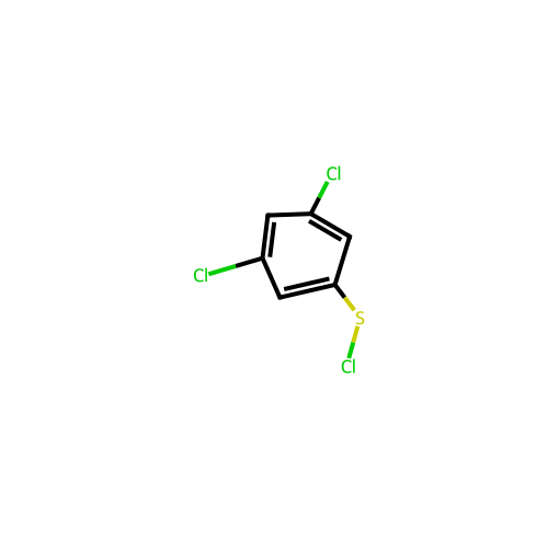 ClSc1cc(Cl)cc(Cl)c1